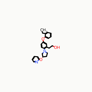 CCc1ccccc1Oc1ccc(N2CC[C@H](Oc3ccccn3)C2)c(CCO)c1